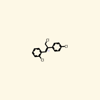 ClC/C(=C\c1ccccc1Cl)c1ccc(Cl)cc1